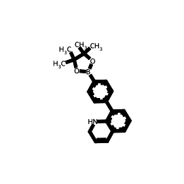 CC1(C)OB(c2ccc(-c3cccc4c3NCC=C4)cc2)OC1(C)C